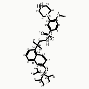 COc1ccc(S(=O)(=O)NCC(C)(C)c2cccc3cc(O[Si](C(C)C)(C(C)C)C(C)C)ccc23)cc1N1CCNCC1